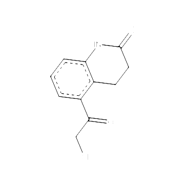 O=C1CCc2c(cccc2C(=O)CCl)N1